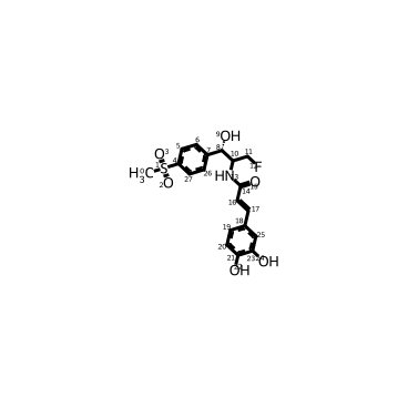 CS(=O)(=O)c1ccc([C@H](O)C(CF)NC(=O)/C=C/c2ccc(O)c(O)c2)cc1